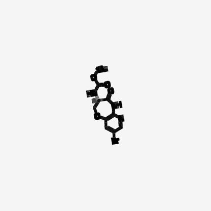 CC(C)(C)OC(=O)N[C@H]1COc2cc(Br)cnc2NC1=O